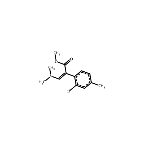 COC(=O)/C(=C\N(C)C)c1ccc(C)cc1Cl